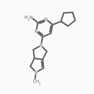 CN1C=C2CN(c3cc(C4CCCC4)nc(N)n3)CC2C1